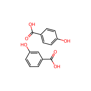 O=C(O)c1ccc(O)cc1.O=C(O)c1cccc(O)c1